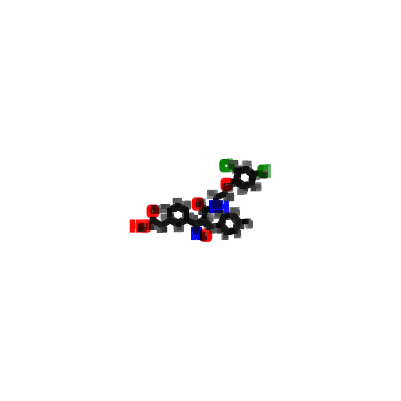 Cc1ccc(-c2onc(-c3cccc(CC(=O)O)c3)c2C(=O)NCCOc2ccc(Cl)cc2Cl)cc1